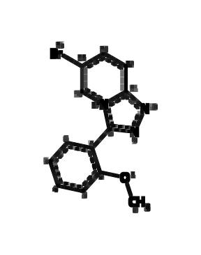 COc1ccccc1-c1nnc2ccc(Br)cn12